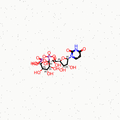 O=C(O)[C@@]1(P(=O)(OC[C@H]2O[C@@H](n3ccc(=O)[nH]c3=O)[C@H](O)[C@@H]2O)OP(=O)(O)O)O[C@H](O)[C@H](O)[C@@H](O)[C@@H]1O